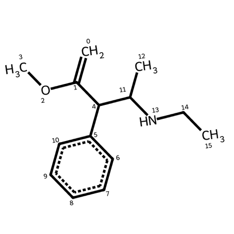 C=C(OC)C(c1ccccc1)C(C)NCC